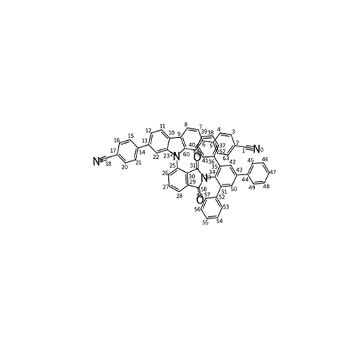 N#Cc1ccc(-c2ccc3c4ccc(-c5ccc(C#N)cc5)cc4n(-c4cccc5c4C(=O)N(c4c(-c6ccccc6)cc(-c6ccccc6)cc4-c4ccccc4)C5=O)c3c2)cc1